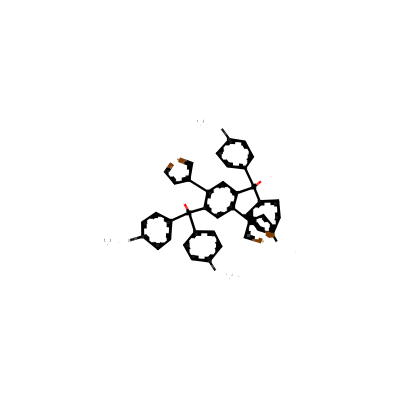 COc1ccc(C(O)(c2ccc(C)cc2)c2cc(-c3ccsc3)c(C(O)(c3ccc(OC)cc3)c3ccc(OC)cc3)cc2-c2ccsc2)cc1